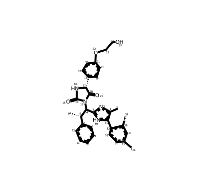 Cc1nc(C([C@@H](C)c2ccccc2)N2C(=O)N[C@H](c3ccc(OCCO)cc3)C2=O)[nH]c1-c1ccc(I)cc1F